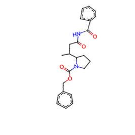 CC(CC(=O)NC(=O)c1ccccc1)C1CCCN1C(=O)OCc1ccccc1